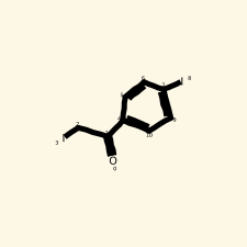 O=C(CI)c1ccc(I)cc1